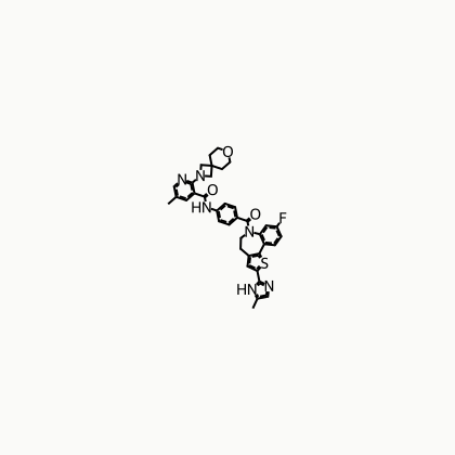 Cc1cnc(N2CC3(CCOCC3)C2)c(C(=O)Nc2ccc(C(=O)N3CCc4cc(-c5ncc(C)[nH]5)sc4-c4ccc(F)cc43)cc2)c1